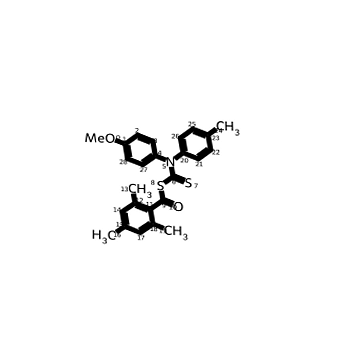 COc1ccc(N(C(=S)SC(=O)c2c(C)cc(C)cc2C)c2ccc(C)cc2)cc1